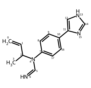 C=CC(C)N(C=N)c1ccc(-c2c[nH]cn2)cc1